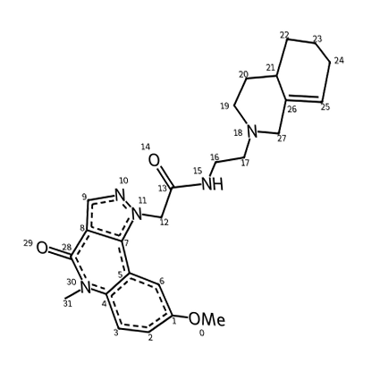 COc1ccc2c(c1)c1c(cnn1CC(=O)NCCN1CCC3CCCC=C3C1)c(=O)n2C